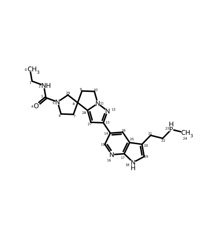 CCNC(=O)N1CCC2(CCn3nc(-c4cnc5[nH]cc(CCPC)c5c4)cc32)C1